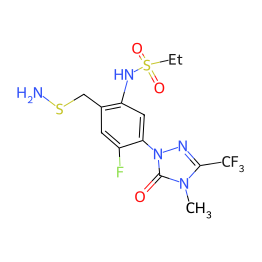 CCS(=O)(=O)Nc1cc(-n2nc(C(F)(F)F)n(C)c2=O)c(F)cc1CSN